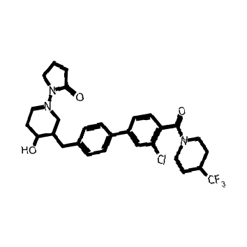 O=C(c1ccc(-c2ccc(CC3CN(N4CCCC4=O)CCC3O)cc2)cc1Cl)N1CCC(C(F)(F)F)CC1